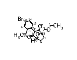 CCOC[C@]12CC[C@H](O1)C(=O)C(c1ccc(Br)cc1CC)C2=O